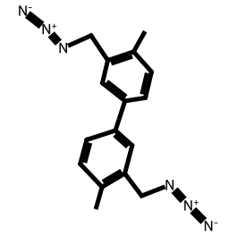 Cc1ccc(-c2ccc(C)c(CN=[N+]=[N-])c2)cc1CN=[N+]=[N-]